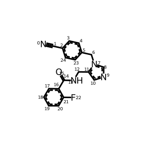 N#Cc1ccc(Cn2cncc2CNC(=O)c2ccccc2F)cc1